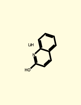 Oc1ccc2ccccc2n1.[LiH]